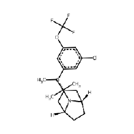 CCC(C)(C)N1[C@@H]2CC[C@H]1C[C@@H](Oc1cc(Cl)cc(OC(F)(F)F)c1)C2